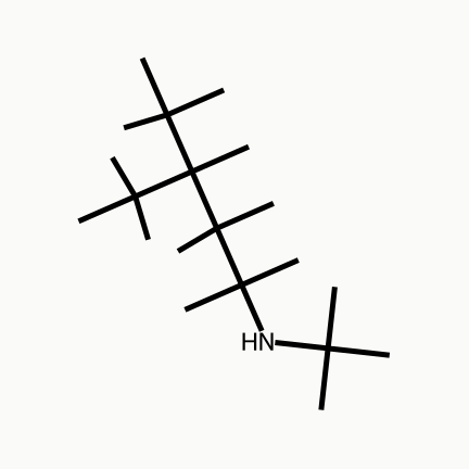 CC(C)(C)NC(C)(C)C(C)(C)C(C)(C(C)(C)C)C(C)(C)C